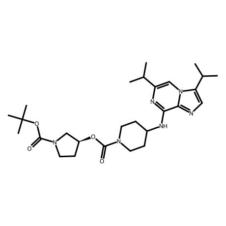 CC(C)c1cn2c(C(C)C)cnc2c(NC2CCN(C(=O)O[C@H]3CCN(C(=O)OC(C)(C)C)C3)CC2)n1